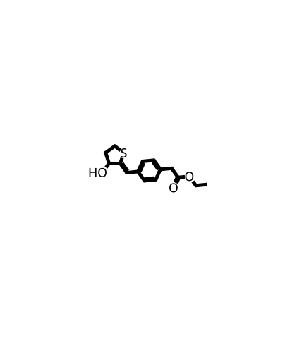 CCOC(=O)Cc1ccc(/C=C2\SCCC2O)cc1